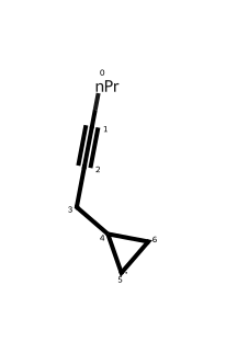 CCCC#CCC1[CH]C1